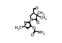 Cn1cc(OC(N)=O)c(N2CC(C=O)C(C)(C)C2=O)n1